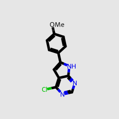 COc1ccc(-c2cc3c(Cl)ncnc3[nH]2)cc1